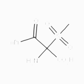 CCCC(=O)C(N)(C(=O)O)S(C)(=O)=O